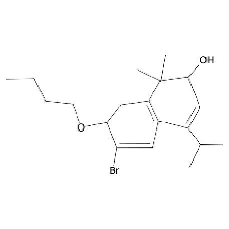 CCCCOC1CC2=C(C=C1Br)C(C(C)C)=CC(O)C2(C)C